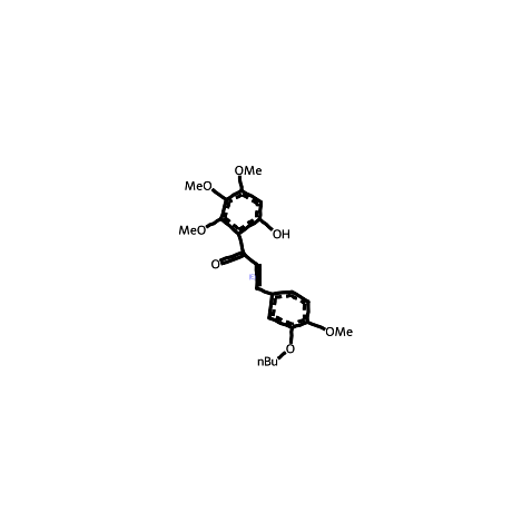 CCCCOc1cc(/C=C/C(=O)c2c(O)cc(OC)c(OC)c2OC)ccc1OC